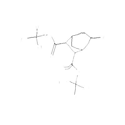 CC(C)(C)OC(=O)C1C2CC(S)C(C2)C1C(=O)OC(C)(C)C